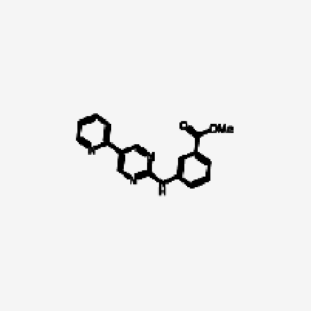 COC(=O)c1cccc(Nc2ncc(-c3ccccn3)cn2)c1